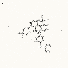 CC(C)Oc1ncc(C(=O)Nc2c(-c3ncccc3C(F)(F)F)ccnc2C2CCC(F)(F)CC2)cn1